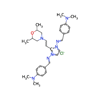 CC1CN(C=C[c+]2n(N=Cc3ccc(N(C)C)cc3)ccn2N=Cc2ccc(N(C)C)cc2)CC(C)O1.[Cl-]